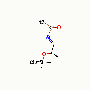 C[C@H](C=N[S@@+]([O-])C(C)(C)C)O[Si](C)(C)C(C)(C)C